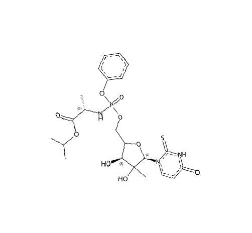 CC(C)OC(=O)[C@H](C)NP(=O)(OCC1O[C@@H](n2ccc(=O)[nH]c2=S)C(C)(O)[C@H]1O)Oc1ccccc1